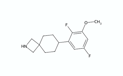 COc1cc(F)cc(C2CCC3(CC2)CNC3)c1F